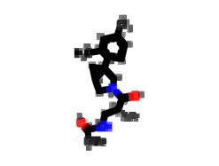 CCC[C@H](CNC(=O)OC)C(=O)N1CC2CC2(c2ccc(C(F)(F)F)cc2C)C1